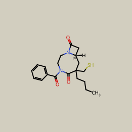 CCCCC1(CS)C[C@H]2CC(=O)N2CCN(C(=O)c2ccccc2)C1=O